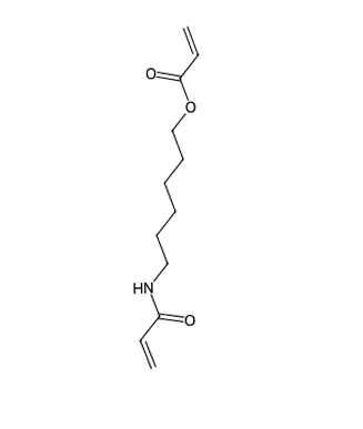 C=CC(=O)NCCCCCCOC(=O)C=C